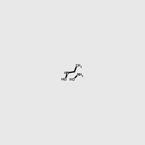 CCNO.NO